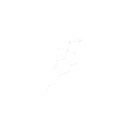 Cc1cc(OC(C)C)ccc1C(F)(F)C(N)=O